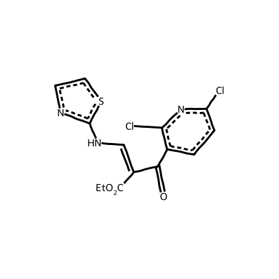 CCOC(=O)C(=CNc1nccs1)C(=O)c1ccc(Cl)nc1Cl